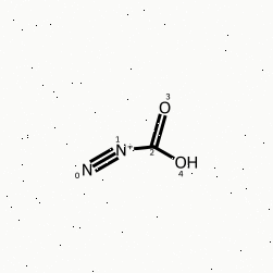 N#[N+]C(=O)O